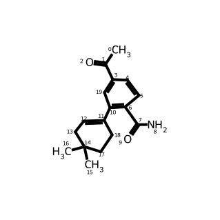 CC(=O)c1ccc(C(N)=O)c(C2=CCC(C)(C)CC2)c1